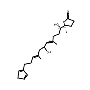 C/C(=C\C(O)C/C(C)=C/CCc1ccoc1)CC[C@@H](O)[C@]1(C)CCC(=O)O1